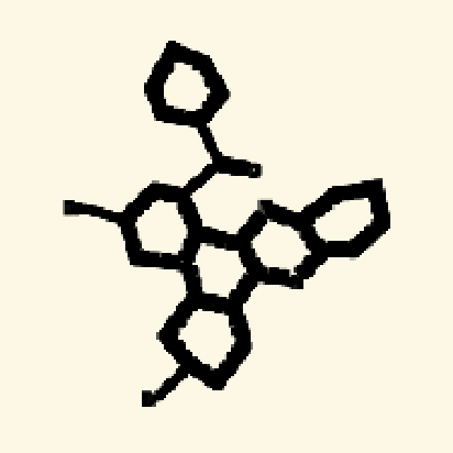 O=C(c1ccccc1)c1cc(Br)cc2c3cc(Br)ccc3c3nc4ccccc4nc3c12